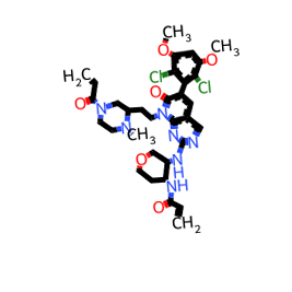 C=CC(=O)NC1CCOCC1Nc1ncc2cc(-c3c(Cl)c(OC)cc(OC)c3Cl)c(=O)n(CCC3CN(C(=O)C=C)CCN3C)c2n1